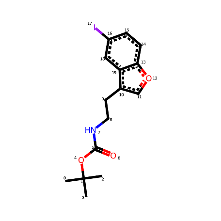 CC(C)(C)OC(=O)NCCc1coc2ccc(I)cc12